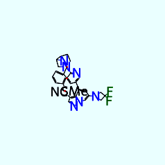 CSc1cccc(CN2C3CC2CN(c2ccc(-c4cc(N5CC(F)(F)C5)cn5ncc(C#N)c45)cn2)C3)c1